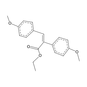 CCOC(=O)C(=Cc1ccc(OC)cc1)c1ccc(OC)cc1